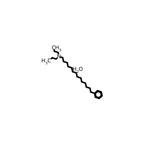 CCCN(CCC)CCCCCCCCCCCCCCc1ccccc1.O